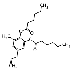 C=CCc1cc(C)c(OC(=O)CCCCC)c(OC(=O)CCCCC)c1